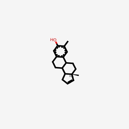 Cc1cc2c(cc1O)CCC1C2CC[C@]2(C)C=CCC12